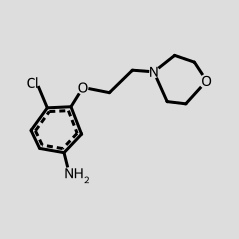 Nc1ccc(Cl)c(OCCN2CCOCC2)c1